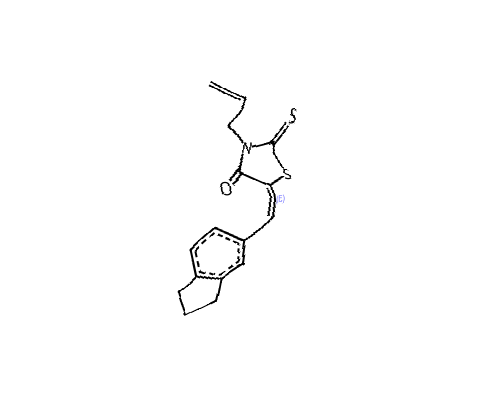 C=CCN1C(=O)/C(=C\c2ccc3c(c2)CCC3)SC1=S